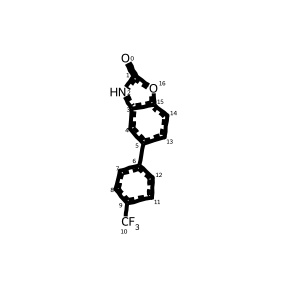 O=c1[nH]c2cc(-c3ccc(C(F)(F)F)cc3)ccc2o1